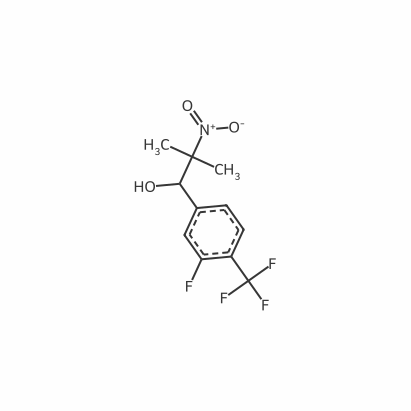 CC(C)(C(O)c1ccc(C(F)(F)F)c(F)c1)[N+](=O)[O-]